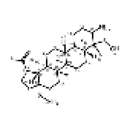 C=C(C)[C@@H]1CC[C@]2(CN)CC[C@]3(C)[C@H](CC[C@@H]4[C@@]5(C)CCC(N)C(C)(CO)[C@@H]5CC[C@]43C)[C@@H]12